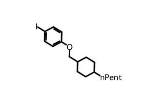 CCCCCC1CCC(COc2ccc(I)cc2)CC1